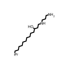 CC(C)CCCCCCCCCCC(O)CCNCCCN